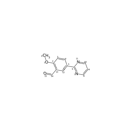 COc1ccc(-c2ncccn2)cc1C=O